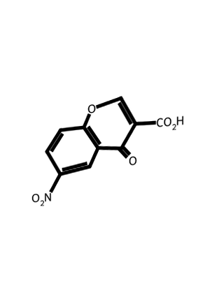 O=C(O)c1coc2ccc([N+](=O)[O-])cc2c1=O